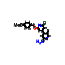 COc1ccc(COc2cc(-c3cc(N)ncc3C)cc(Cl)n2)cc1